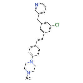 CC(=O)N1CCN(c2ccc(C=Cc3cc(Cl)cc(Cc4cccnc4)c3)cc2)CC1